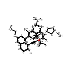 COCOc1cc(-c2nc(OC)c3c(N[C@@H]4CC[C@H](CO)C4)nc([S+](C)[O-])nc3c2F)c2c(C#C[Si](C(C)C)(C(C)C)C(C)C)c(F)ccc2c1